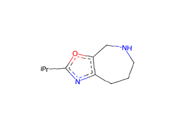 CC(C)c1nc2c(o1)CNCCC2